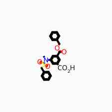 CN(c1cc(C(=O)O)cc(C(=O)OCc2ccccc2)c1)S(=O)(=O)Cc1ccccc1